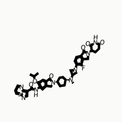 CC(C)Oc1cc2c(cc1NC(=O)c1cnn3cccnc13)CN([C@H]1CC[C@H](N(C)C3CN(c4ccc5c(c4F)CN(C4CCC(=O)NC4=O)C5=O)C3)CC1)C2=O